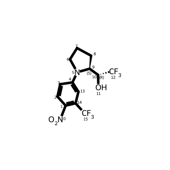 O=[N+]([O-])c1ccc(N2CCC[C@H]2[C@@H](O)C(F)(F)F)cc1C(F)(F)F